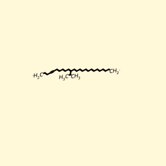 [CH2]CCC#CCCCCCC(CCCCCCCCCCCCC[CH2])C(C)C